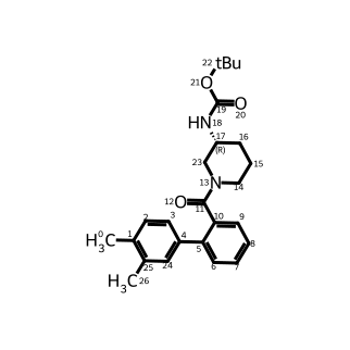 Cc1ccc(-c2ccccc2C(=O)N2CCC[C@@H](NC(=O)OC(C)(C)C)C2)cc1C